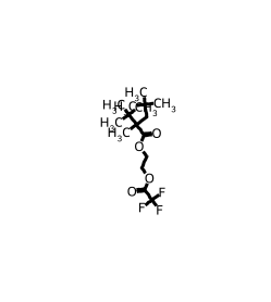 CC(C)(C)CC(C)(C(=O)OCCOC(=O)C(F)(F)F)C(C)(C)C